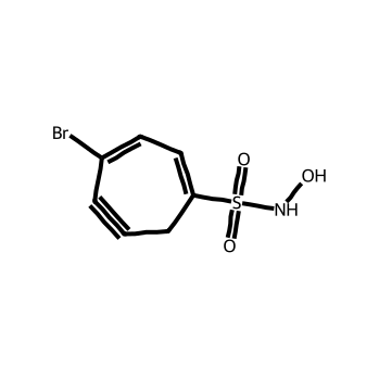 O=S(=O)(NO)C1=CC=C(Br)C#CC1